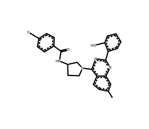 Cc1ccc2c(N3CCC(NC(=O)c4ccc(F)cc4)C3)nc(-c3ccccc3O)nc2c1